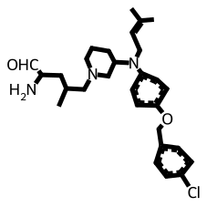 CC(C)=CCN(c1ccc(OCc2ccc(Cl)cc2)cc1)C1CCCN(CC(C)CC(N)C=O)C1